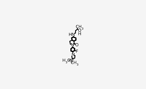 CC(O)CCNc1ccc2c(c1)CCN(c1ccc(N3CC[C@@H](N(C)C)C3)c(F)c1)C2=O